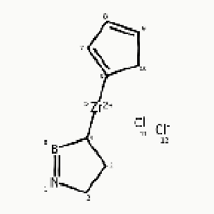 B1=NCC[CH]1[Zr+2][C]1=CC=CC1.[Cl-].[Cl-]